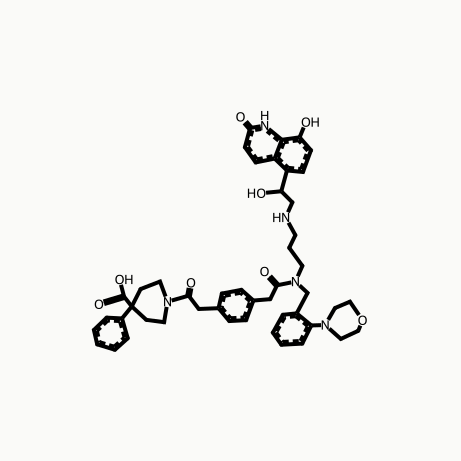 O=C(Cc1ccc(CC(=O)N(CCCNCC(O)c2ccc(O)c3[nH]c(=O)ccc23)Cc2ccccc2N2CCOCC2)cc1)N1CCC(C(=O)O)(c2ccccc2)CC1